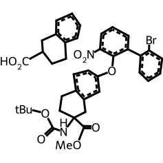 COC(=O)C1(NC(=O)OC(C)(C)C)CCc2ccc(Oc3c(-c4ccccc4Br)cccc3[N+](=O)[O-])cc2C1.O=C(O)C1CCc2ccccc2C1